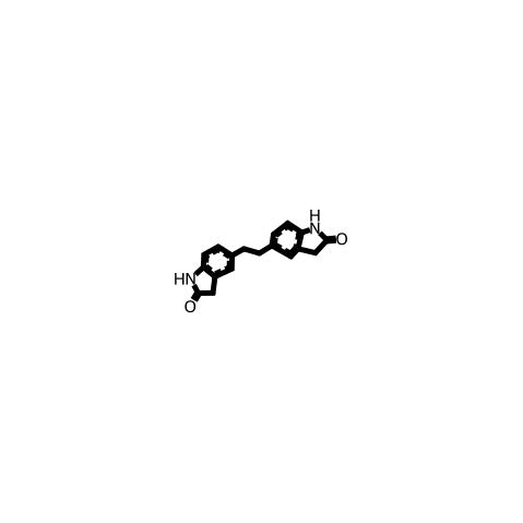 O=C1Cc2cc(CCc3ccc4c(c3)CC(=O)N4)ccc2N1